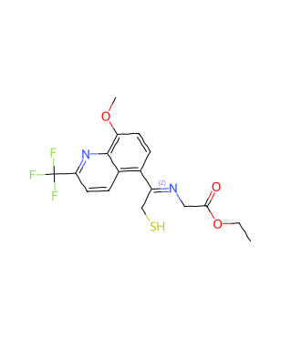 CCOC(=O)C/N=C(\CS)c1ccc(OC)c2nc(C(F)(F)F)ccc12